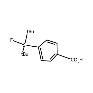 CC(C)(C)[Si](F)(c1ccc(C(=O)O)cc1)C(C)(C)C